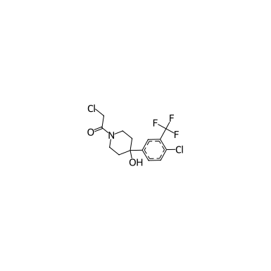 O=C(CCl)N1CCC(O)(c2ccc(Cl)c(C(F)(F)F)c2)CC1